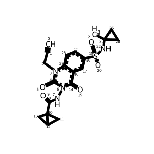 C#CCn1c(=O)n(NC(=O)C23CC2C3)c(=O)c2cc(S(=O)(=O)NC3(C)CC3)ccc21